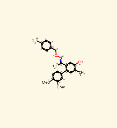 COc1ccc(-c2cc(C)c(O)cc2/C(C)=N/OCc2ccc([N+](=O)[O-])cc2)cc1OC